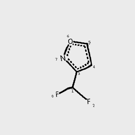 FC(F)c1c[c]on1